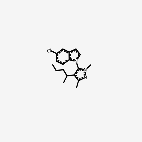 [CH2]C(CCC)c1c(C)nn(C)c1-n1ccc2cc(Cl)ccc21